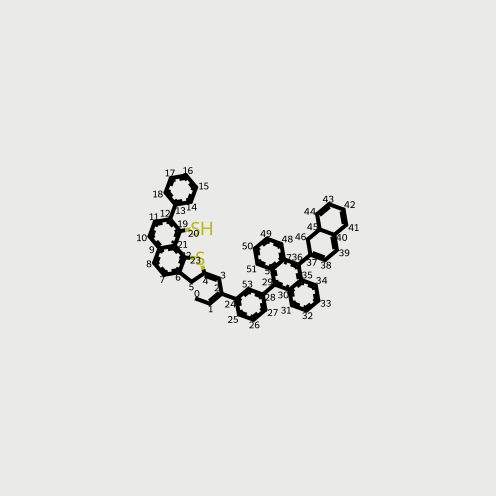 C/C=C(\C=C1/Cc2ccc3ccc(-c4ccccc4)c(S)c3c2S1)c1cccc(-c2c3ccccc3c(C3=CC=C4C=CC=CC4C3)c3ccccc23)c1